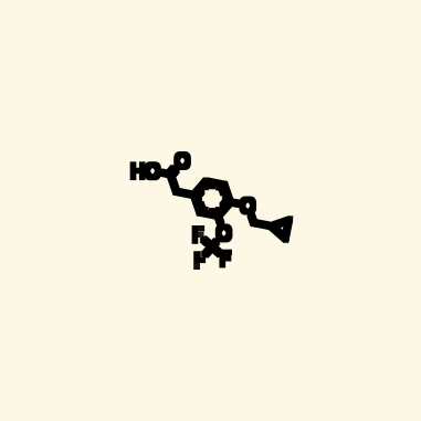 O=C(O)Cc1ccc(OCC2CC2)c(OC(F)(F)F)c1